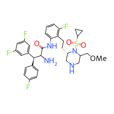 COCC1CNC[C@H](CCc2c(F)cccc2NC(=O)[C@@H](N)[C@@H](c2ccc(F)cc2)c2cc(F)cc(F)c2)N1S(=O)(=O)C1CC1